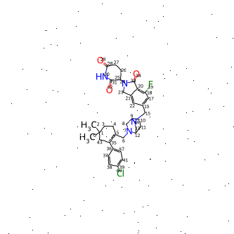 CC1(C)CCC(CN2CC3CCC2CN3Cc2cc(F)c3c(c2)CN(C2CCC(=O)NC2=O)C3=O)=C(c2ccc(Cl)cc2)C1